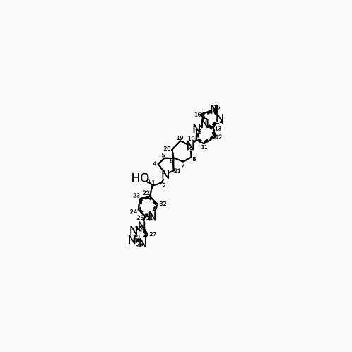 OC(CN1CCC2(CCN(c3ccc4nncn4n3)CC2)C1)c1ccc(-n2cnnn2)nc1